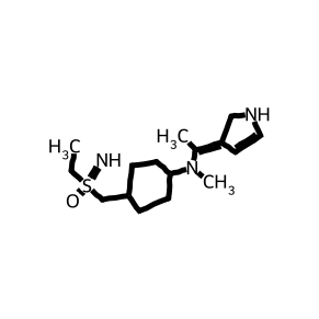 CCS(=N)(=O)CC1CCC(N(C)/C(C)=C2\C=CNC2)CC1